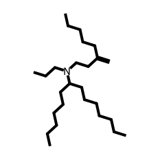 C=C(CCCCC)CCN(CCC)C(CCCCCC)CCCCCCC